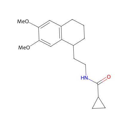 COc1cc2c(cc1OC)C(CCNC(=O)C1CC1)CCC2